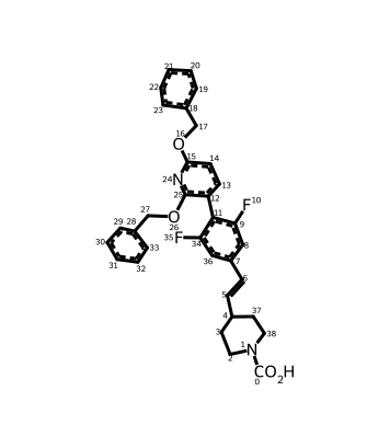 O=C(O)N1CCC(C=Cc2cc(F)c(-c3ccc(OCc4ccccc4)nc3OCc3ccccc3)c(F)c2)CC1